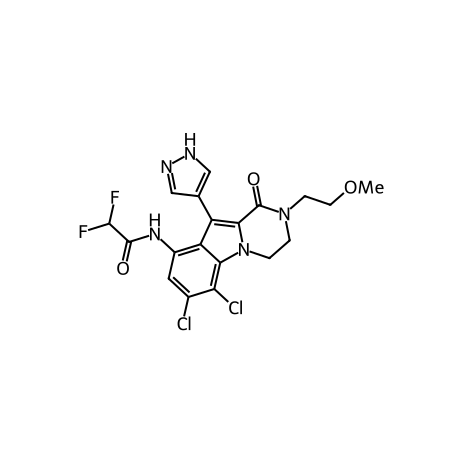 COCCN1CCn2c(c(-c3cn[nH]c3)c3c(NC(=O)C(F)F)cc(Cl)c(Cl)c32)C1=O